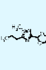 CCCc1nc(C2OCCO2)nn1C